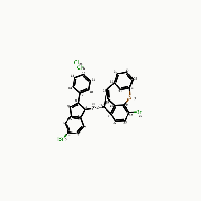 Brc1ccc2c(c1)C=C(c1ccccc1)[CH]2[Zr+2][CH]1C2=Cc3c1ccc(Br)c3Sc1cccc2c1.[Cl-].[Cl-]